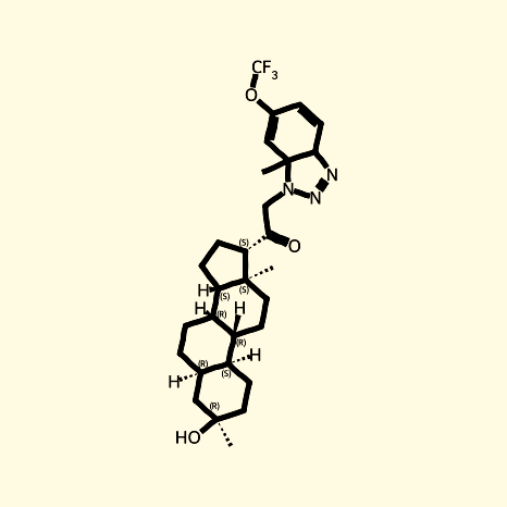 CC12C=C(OC(F)(F)F)C=CC1N=NN2CC(=O)[C@H]1CC[C@H]2[C@@H]3CC[C@@H]4C[C@](C)(O)CC[C@@H]4[C@H]3CC[C@]12C